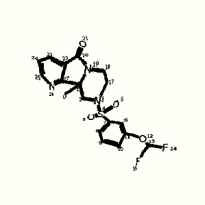 CC12CN(S(=O)(=O)c3cccc(OC(F)F)c3)CCN1C(=O)c1cccnc12